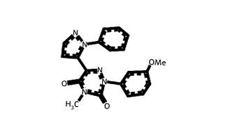 COc1cccc(-n2nc(-c3ccnn3-c3ccccc3)c(=O)n(C)c2=O)c1